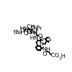 CC(C)C[C@@H](NC(=O)C(C)(C)NC(=O)OC(C)(C)C)C(=O)NC1Cc2cccc(NC(=O)CCC(=O)O)c2N(Cc2ccsc2)C1=O